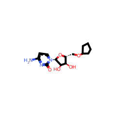 Nc1ccn([C@@H]2O[C@H](COC3CCCC3)[C@@H](O)[C@H]2O)c(=O)n1